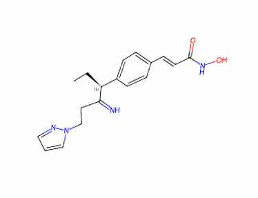 CC[C@H](C(=N)CCn1cccn1)c1ccc(C=CC(=O)NO)cc1